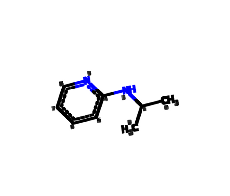 CC(C)Nc1ccccn1